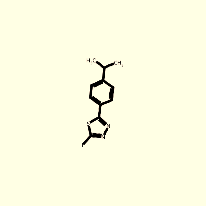 CC(C)c1ccc(-c2nnc(I)s2)cc1